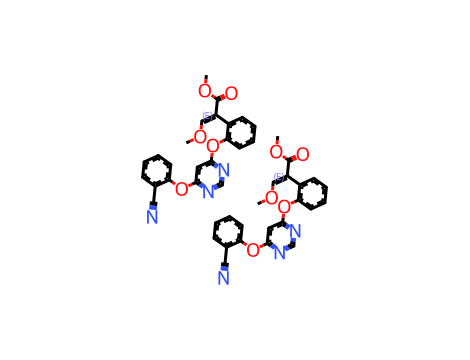 CO/C=C(/C(=O)OC)c1ccccc1Oc1cc(Oc2ccccc2C#N)ncn1.CO/C=C(/C(=O)OC)c1ccccc1Oc1cc(Oc2ccccc2C#N)ncn1